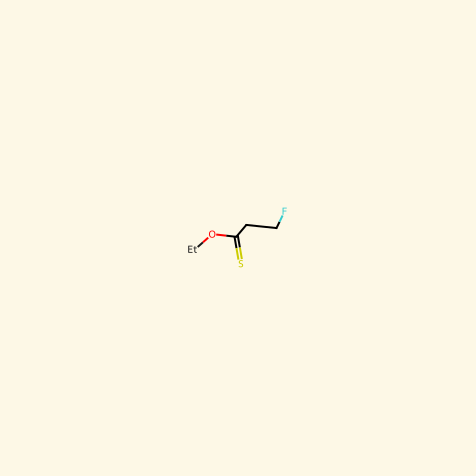 CCOC(=S)CCF